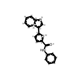 O=C(Nc1ccccc1)c1ccc(-c2cnc3ccccn23)s1